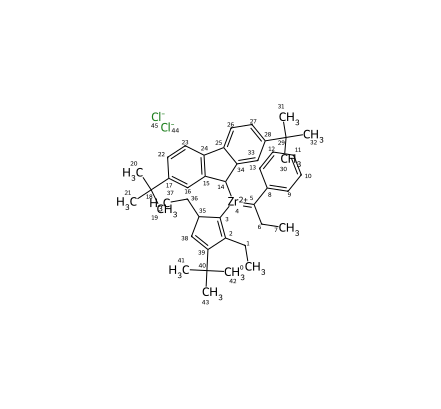 CCC1=[C](/[Zr+2](=[C](\CC)c2ccccc2)[CH]2c3cc(C(C)(C)C)ccc3-c3ccc(C(C)(C)C)cc32)C(CC)C=C1C(C)(C)C.[Cl-].[Cl-]